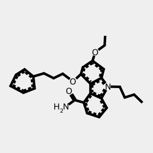 CCCCn1c2cc(OCC)cc(OCCCc3ccccc3)c2c2c(C(N)=O)cccc21